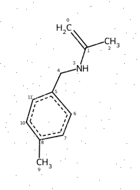 C=C(C)NCc1ccc(C)cc1